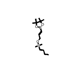 CCCC[Si](C)(C)OC/C=C/B1OC(C)(C)C(C)(C)O1